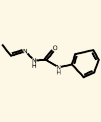 C/C=N/NC(=O)Nc1ccccc1